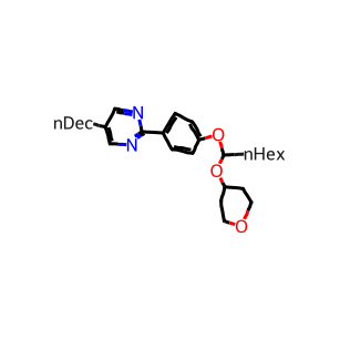 CCCCCCCCCCc1cnc(-c2ccc(OC(CCCCCC)OC3CCOCC3)cc2)nc1